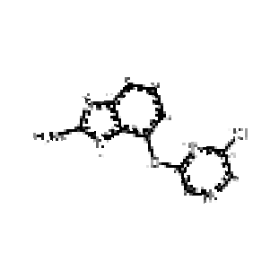 Nc1nc2c(Oc3cncc(Cl)n3)cccc2s1